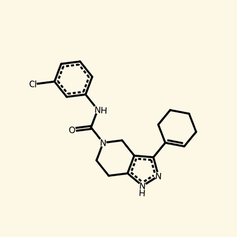 O=C(Nc1cccc(Cl)c1)N1CCc2[nH]nc(C3=CCCCC3)c2C1